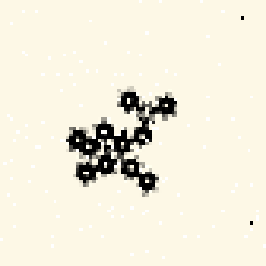 Cc1c(-c2cccc(-c3nc(-c4ccccc4)nc(-c4ccccc4)n3)c2)cc2c3c1-c1cccc4c5c6ccccc6ccc5n(c14)B3c1cc(-c3ccccc3)ccc1N2c1ccc(-c2ccccc2)cc1